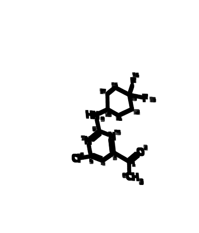 CC(=O)c1cc(Cl)nc(NC2CCC(F)(F)CC2)n1